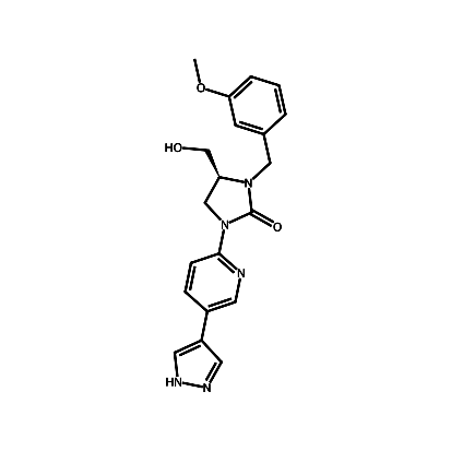 COc1cccc(CN2C(=O)N(c3ccc(-c4cn[nH]c4)cn3)C[C@H]2CO)c1